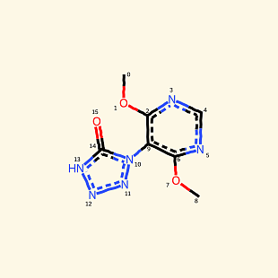 COc1ncnc(OC)c1-n1nn[nH]c1=O